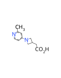 Cc1cc(N2CC(CC(=O)O)C2)ccn1